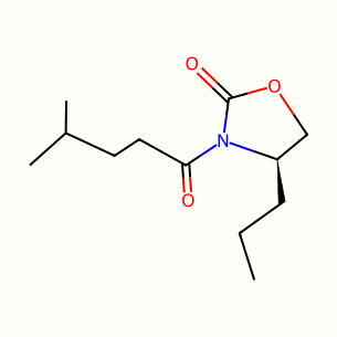 CCC[C@@H]1COC(=O)N1C(=O)CCC(C)C